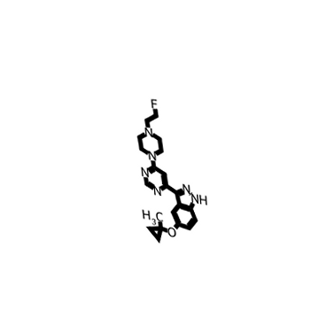 CC1(Oc2ccc3[nH]nc(-c4cc(N5CCN(CCF)CC5)ncn4)c3c2)CC1